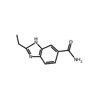 CCc1nc2ccc(C(N)=O)cc2[nH]1